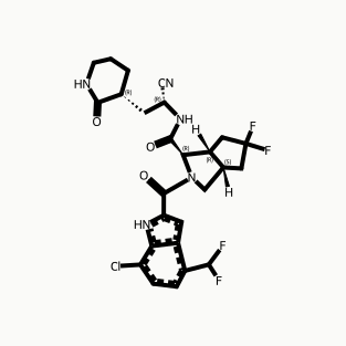 N#C[C@@H](C[C@H]1CCCNC1=O)NC(=O)[C@H]1[C@@H]2CC(F)(F)C[C@@H]2CN1C(=O)c1cc2c(C(F)F)ccc(Cl)c2[nH]1